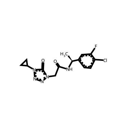 C[C@H](NC(=O)Cn1nnn(C2CC2)c1=O)c1ccc(Cl)c(F)c1